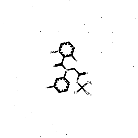 CCC(C)(C)OC(=O)CN(C(=O)c1c(F)cccc1F)c1cccc(F)c1